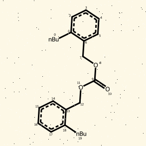 CCCCc1ccccc1COC(=O)OCc1ccccc1CCCC